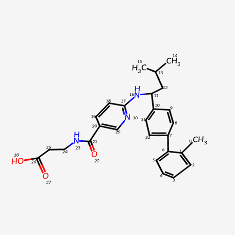 Cc1ccccc1-c1ccc(C(CC(C)C)Nc2ccc(C(=O)NCCC(=O)O)cn2)cc1